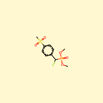 COP(=O)(OC)C(F)c1ccc(S(C)(=O)=O)cc1